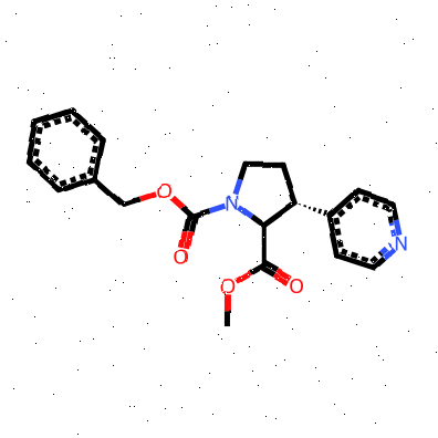 COC(=O)C1[C@@H](c2ccncc2)CCN1C(=O)OCc1ccccc1